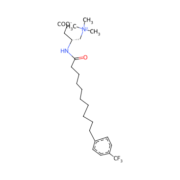 C[N+](C)(C)C[C@@H](CC(=O)[O-])NC(=O)CCCCCCCCCc1ccc(C(F)(F)F)cc1